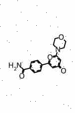 NC(=O)c1ccc(-c2cc(=O)cc(N3CCOCC3)o2)cc1